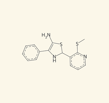 CSc1ncccc1C1NC(c2ccccc2)=C(N)S1